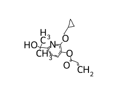 C=CC(=O)Oc1ccc(C(C)(C)O)nc1OCC1CC1